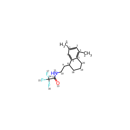 Cc1cc(C)c2c(c1)C(CCNC(=O)C(F)(F)F)CCC2